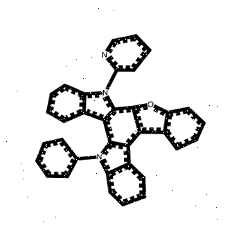 c1ccc(-n2c3ccccc3c3c4c5ccccc5oc4c4c(c5ccccc5n4-c4ccccn4)c32)cc1